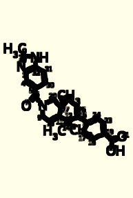 Cc1nc2cc(C(=O)N3CC=C4C(C)(C)C(c5ccc(C(=O)O)cc5)=CC[C@]4(C)C3)ccc2[nH]1